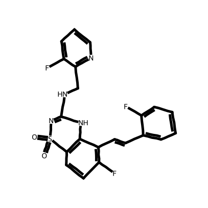 O=S1(=O)N=C(NCc2ncccc2F)Nc2c1ccc(F)c2C=Cc1ccccc1F